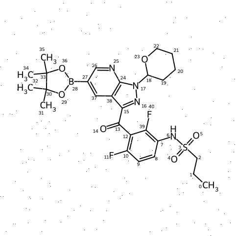 CCCS(=O)(=O)Nc1ccc(F)c(C(=O)c2nn(C3CCCCO3)c3ncc(B4OC(C)(C)C(C)(C)O4)cc23)c1F